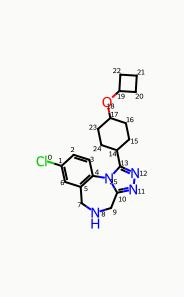 Clc1ccc2c(c1)CNCc1nnc(C3CCC(OC4CCC4)CC3)n1-2